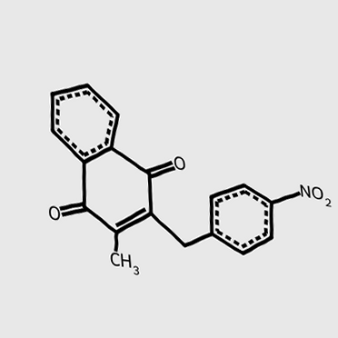 CC1=C(Cc2ccc([N+](=O)[O-])cc2)C(=O)c2ccccc2C1=O